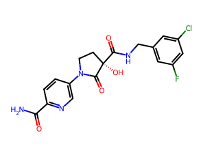 NC(=O)c1ccc(N2CC[C@@](O)(C(=O)NCc3cc(F)cc(Cl)c3)C2=O)cn1